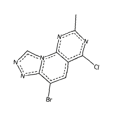 Cc1nc(Cl)c2cc(Br)c3nncn3c2n1